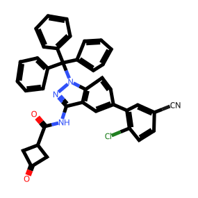 N#Cc1ccc(Cl)c(-c2ccc3c(c2)c(NC(=O)C2CC(=O)C2)nn3C(c2ccccc2)(c2ccccc2)c2ccccc2)c1